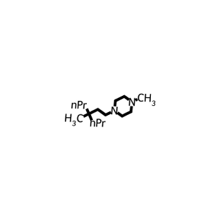 CCCC(C)(CCC)CCN1CCN(C)CC1